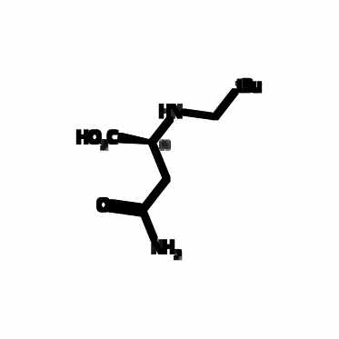 CC(C)(C)CN[C@@H](CC(N)=O)C(=O)O